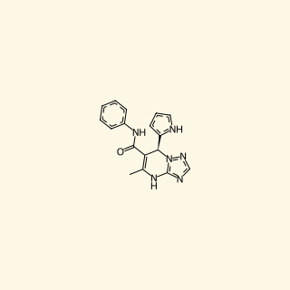 CC1=C(C(=O)Nc2ccccc2)[C@@H](c2ccc[nH]2)n2ncnc2N1